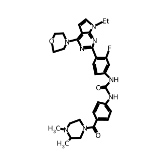 CCn1ccc2c(N3CCOCC3)nc(-c3ccc(NC(=O)Nc4ccc(C(=O)N5CCN(C)C(C)C5)cc4)cc3F)nc21